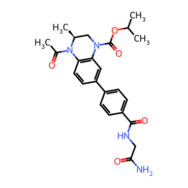 CC(=O)N1c2ccc(-c3ccc(C(=O)NCC(N)=O)cc3)cc2N(C(=O)OC(C)C)C[C@@H]1C